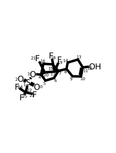 O=S(=O)(OC12CCC(C3CC=C(O)CC3)(CC1)C(F)(F)C2F)C(F)(F)F